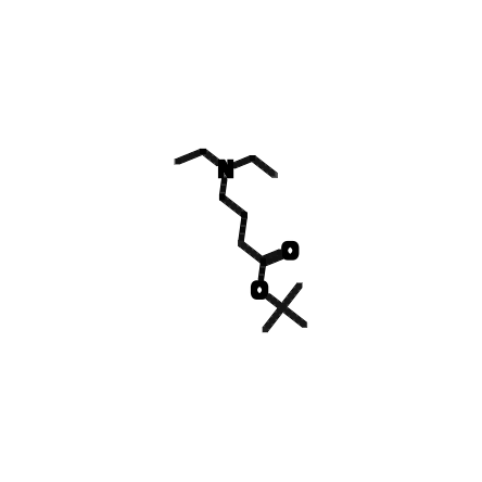 CCN(CC)CCCC(=O)OC(C)(C)C